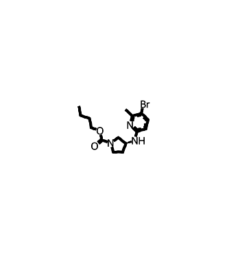 CCCCOC(=O)N1CC[C@H](Nc2ccc(Br)c(C)n2)C1